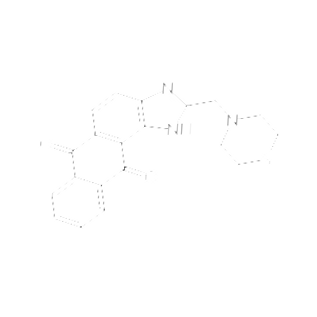 O=C1c2ccccc2C(=O)c2c1ccc1nc(CN3CCSCC3)[nH]c21